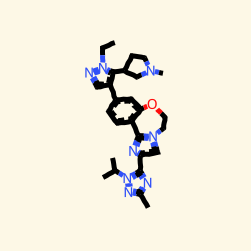 CCn1ncc(-c2ccc3c(c2)OCCn2cc(-c4nc(C)nn4C(C)C)nc2-3)c1C1CCN(C)C1